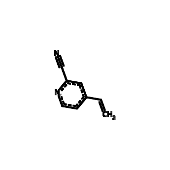 C=Cc1ccnc(C#N)c1